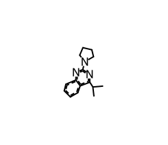 CC(C)c1nc(N2CCCC2)nc2ccccc12